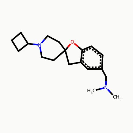 CN(C)Cc1ccc2c(c1)CC1(CCN(C3CCC3)CC1)O2